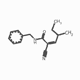 CCC(C)/C=C(/C#N)C(=O)NCc1ccccc1